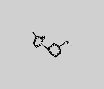 Cc1c[c]n(-c2cccc(C(F)(F)F)c2)n1